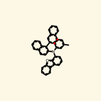 Cc1cccc(N(c2ccc3ccccc3c2-c2ccc3ccccc3c2)c2cccc3c2oc2ccccc23)c1